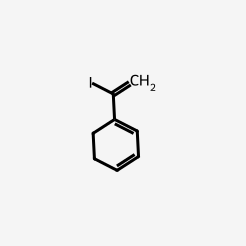 C=C(I)C1=CC=CCC1